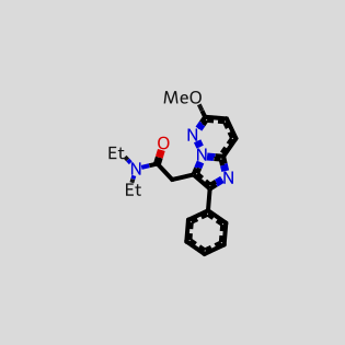 CCN(CC)C(=O)Cc1c(-c2ccccc2)nc2ccc(OC)nn12